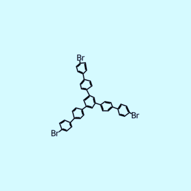 Brc1ccc(-c2ccc(-c3cc(-c4ccc(-c5ccc(Br)cc5)cc4)cc(-c4ccc(-c5ccc(Br)cc5)cc4)c3)cc2)cc1